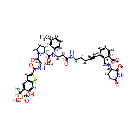 CC(C)(C)[C@H](NC(=O)c1cc2cc(C(F)(F)P(=O)(O)O)ccc2s1)C(=O)N1CCC[C@H]1C(=O)N(CCC(=O)NCCCC#Cc1cccc2c1CN(C1CCC(=O)NC1=O)C2=O)c1cccc(C(F)(F)F)c1